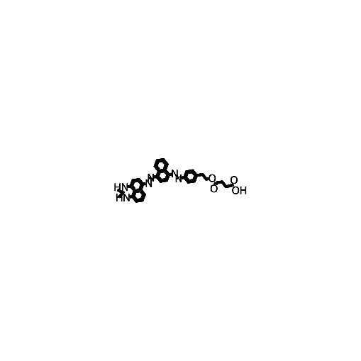 CC1(C)Nc2cccc3c(/N=N/c4ccc(/N=N/c5ccc(CCOC(=O)CCC(=O)O)cc5)c5ccccc45)ccc(c23)N1